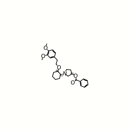 COc1ccc(CCO[C@@H]2CCCC[C@H]2N2CC[C@@H](OC(=O)c3ccccc3)C2)cc1OC